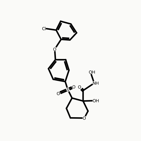 O=C(NO)C1(O)COCCC1S(=O)(=O)c1ccc(Oc2ccccc2Cl)cc1